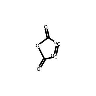 O=C1[13CH]=[13CH]C(=O)O1